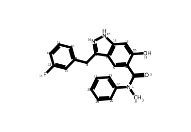 CN(C(=O)c1cc2c(Cc3cccc(F)c3)n[nH]c2cc1O)c1ccccc1